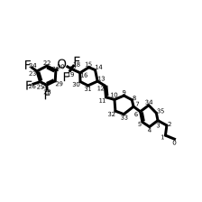 CCCC1CC=C(C2CCC(/C=C/C3CCC(C(F)(F)Oc4cc(F)c(F)c(F)c4)CC3)CC2)CC1